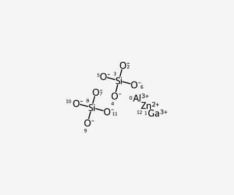 [Al+3].[Ga+3].[O-][Si]([O-])([O-])[O-].[O-][Si]([O-])([O-])[O-].[Zn+2]